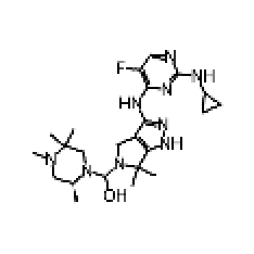 C[C@H]1CN(C)C(C)(C)CN1C(O)N1Cc2c(Nc3nc(NC4CC4)ncc3F)n[nH]c2C1(C)C